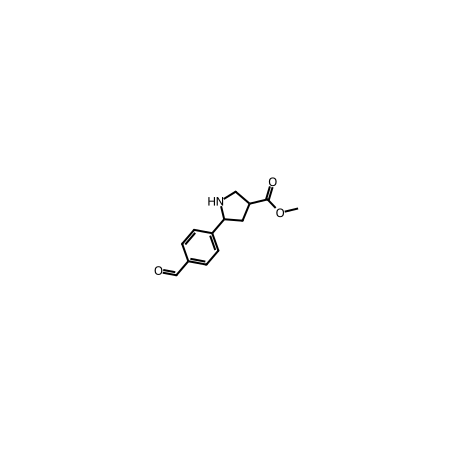 COC(=O)C1CNC(c2ccc(C=O)cc2)C1